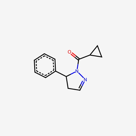 O=C(C1CC1)N1N=CCC1c1ccccc1